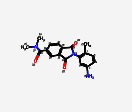 Cc1ccc(N)cc1N1C(=O)c2ccc(C(=O)N(C)C)cc2C1=O